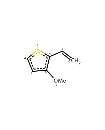 C=Cc1sccc1OC